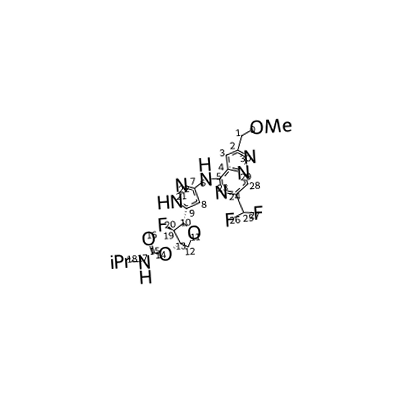 COCc1cc2c(Nc3cc([C@@H]4OC[C@H](OC(=O)NC(C)C)[C@H]4F)[nH]n3)nc(C(F)F)cn2n1